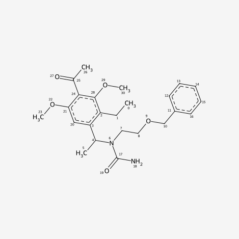 CCc1c(C(C)N(CCOCc2ccccc2)C(N)=O)cc(OC)c(C(C)=O)c1OC